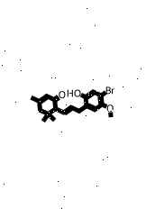 COc1cc(C/C=C/C2C(=O)C=C(C)CC2(C)C)c(O)cc1Br